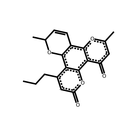 CCCc1[c]c(=O)oc2c1c1c(c3oc(C)cc(=O)c32)C=CC(C)O1